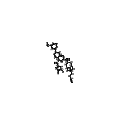 COc1cncc(-c2ccc3c(Nc4cc(C)[nH]n4)nc(NC4CC5CC(CCC#N)CC(C4)N5)nc3c2)c1